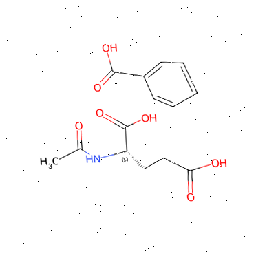 CC(=O)N[C@@H](CCC(=O)O)C(=O)O.O=C(O)c1ccccc1